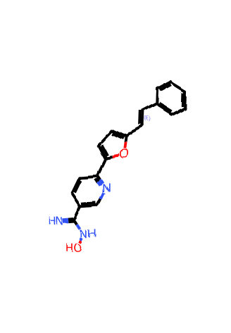 N=C(NO)c1ccc(-c2ccc(/C=C/c3ccccc3)o2)nc1